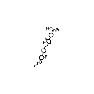 C=CCCOc1ccc(C2CCC(CCc3ccc(C4CCC(C(O)CCC)CC4)c(F)c3F)CC2)c(F)c1